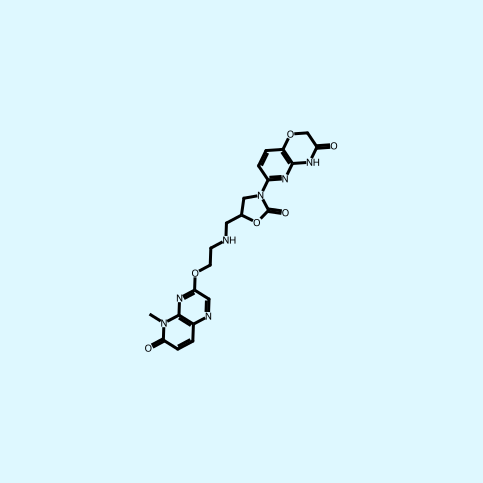 Cn1c(=O)ccc2ncc(OCCNCC3CN(c4ccc5c(n4)NC(=O)CO5)C(=O)O3)nc21